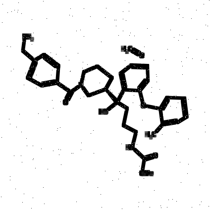 C=O.COC(=O)NCCCC(O)(c1ccccc1Oc1ccccc1C)[C@@H]1CCCN(C(=O)c2ccc(CN)cc2)C1